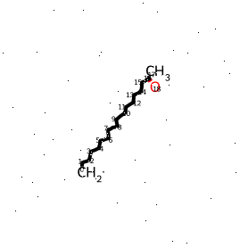 [CH2]CCCCCCCCCCCCCCCC(C)=O